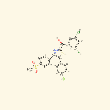 CS(=O)(=O)c1ccc(-c2nc(C(=O)c3cc(Cl)cc(Cl)c3)sc2-c2ccc(F)cc2)cc1